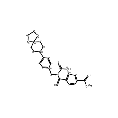 CNC(=O)c1ccc2c(=N)n(Cc3ccc(N4CCC5(CC4)OCCO5)cc3)c(=S)[nH]c2c1